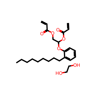 C=CC(=O)OCC(OC(=O)C=C)Oc1ccccc1CCCCCCCCC.OCCO